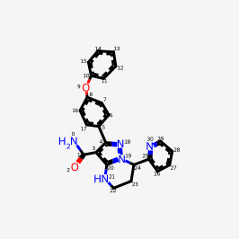 NC(=O)c1c(-c2ccc(Oc3ccccc3)cc2)nn2c1NCCC2c1ccccn1